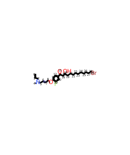 C=CCN(C)C/C=C/COc1ccc(C(=O)C[C@@H](O)CCCCCCCCCCBr)cc1F